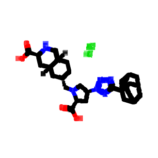 Cl.Cl.O=C(O)[C@@H]1C[C@H]2C[C@@H](CN3C[C@@H](n4nnc(C56CC7CC(CC(C7)C5)C6)n4)C[C@H]3C(=O)O)CC[C@H]2CN1